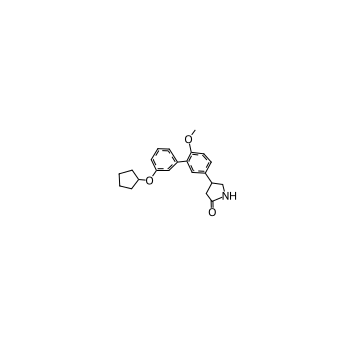 COc1ccc(C2CNC(=O)C2)cc1-c1cccc(OC2CCCC2)c1